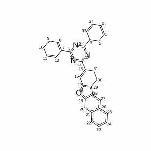 C1=CCC(c2nc(C3=CCCC=C3)nc(C3=Cc4oc5cc6ccccc6cc5c4CC3)n2)C=C1